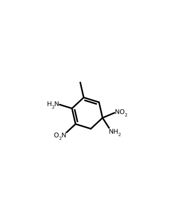 CC1=CC(N)([N+](=O)[O-])CC([N+](=O)[O-])=C1N